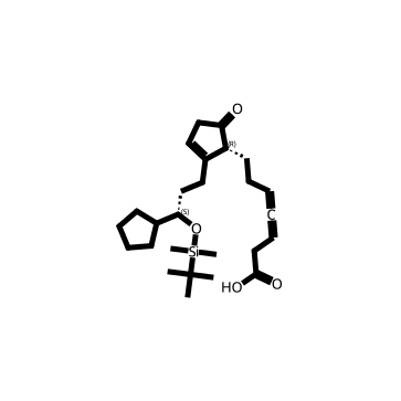 CC(C)(C)[Si](C)(C)O[C@@H](CCC1=CCC(=O)[C@@H]1CCC=C=CCC(=O)O)C1CCCC1